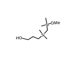 CO[Si](C)(C)C[Si](C)(C)CCCO